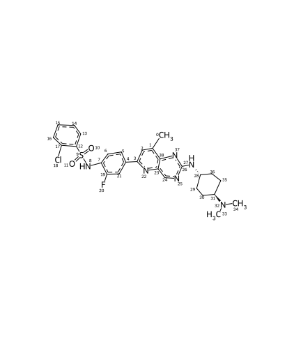 Cc1cc(-c2ccc(NS(=O)(=O)c3ccccc3Cl)c(F)c2)nc2cnc(N[C@H]3CC[C@H](N(C)C)CC3)nc12